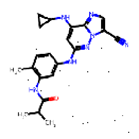 Cc1ccc(Nc2cc(NC3CC3)c3ncc(C#N)n3n2)cc1NC(=O)C(C)C